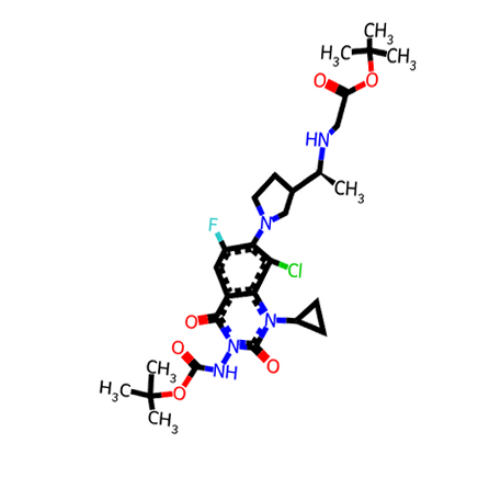 C[C@H](NCC(=O)OC(C)(C)C)C1CCN(c2c(F)cc3c(=O)n(NC(=O)OC(C)(C)C)c(=O)n(C4CC4)c3c2Cl)C1